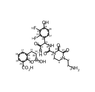 NCCN1CCN(C(=O)NC(C(=O)N[C@H]2Cc3cccc(C(=O)O)c3OB2O)c2ccc(O)c(F)c2F)C(=O)C1=O